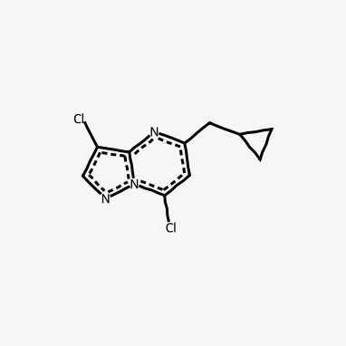 Clc1cnn2c(Cl)cc(CC3CC3)nc12